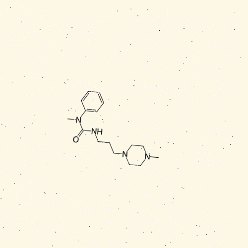 CN1CCN(CCCNC(=O)N(C)c2ccccc2)CC1